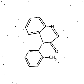 Cc1ccccc1-n1c(=O)cnc2ccccc21